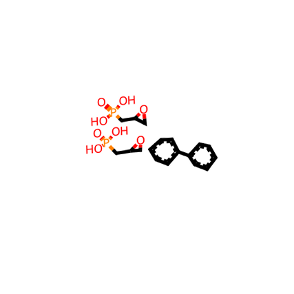 O=P(O)(O)CC1CO1.O=P(O)(O)CC1CO1.c1ccc(-c2ccccc2)cc1